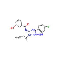 COC[C@H](C)N/C(=N/C(=O)c1cccc(O)c1)NC1NNc2cc(F)ccc21